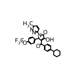 Cc1ccc(N2C(=O)C(O)=C(C(=O)c3ccc(C4CCCCC4)cc3)C2c2ccc(OC(F)(F)F)cc2)nn1